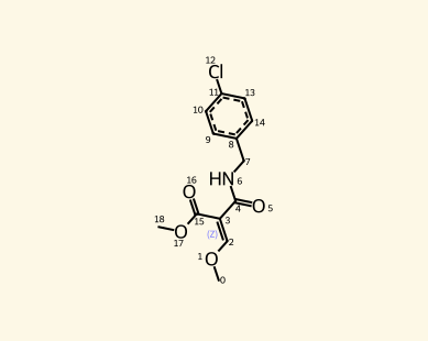 CO/C=C(/C(=O)NCc1ccc(Cl)cc1)C(=O)OC